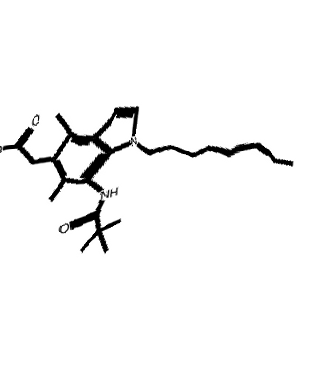 CCCCCCCCn1ccc2c(C)c(CC(=O)O)c(C)c(NC(=O)C(C)(C)C)c21